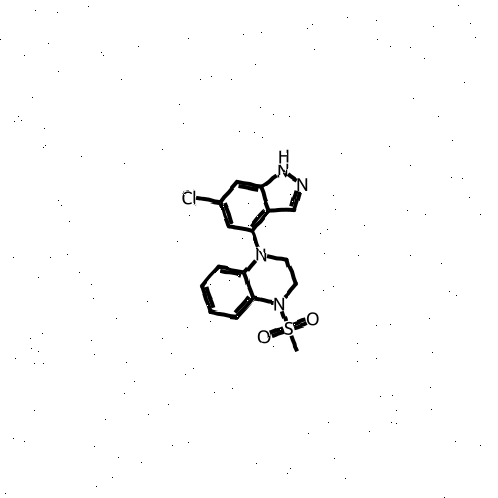 CS(=O)(=O)N1CCN(c2cc(Cl)cc3[nH]ncc23)c2ccccc21